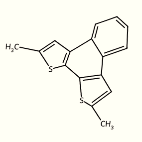 Cc1cc2c3ccccc3c3cc(C)sc3c2s1